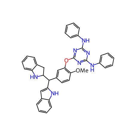 COc1ccc(C(c2cc3ccccc3[nH]2)C2Cc3ccccc3N2)cc1Oc1nc(Nc2ccccc2)nc(Nc2ccccc2)n1